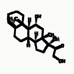 C[C@]12CCCC=C1CC[C@@H]1[C@@H]2[C@H](O)C[C@@]2(C)[C@H]1CC[C@]2(O)C(=O)CO